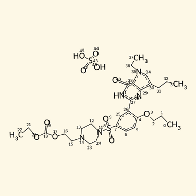 CCCOc1ccc(S(=O)(=O)N2CCN(CCOC(=O)OCC)CC2)cc1-c1nc2c(CCC)cn(CC)c2c(=O)[nH]1.O=S(=O)(O)O